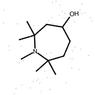 CN1C(C)(C)CCC(O)CC1(C)C